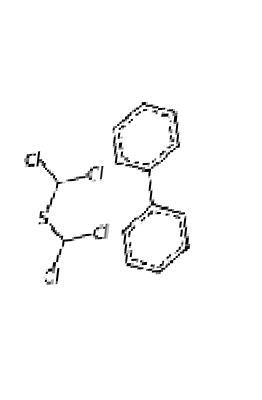 ClC(Cl)SC(Cl)Cl.c1ccc(-c2ccccc2)cc1